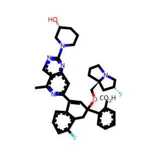 Cc1nc(C2=CC(OC[C@@]34CCCN3C[C@H](F)C4)(c3ccccc3C(=O)O)Cc3c(F)cccc32)cc2nc(N3CCC[C@@H](O)C3)ncc12